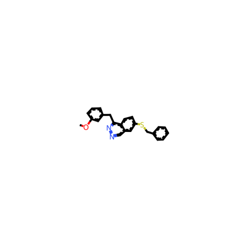 COc1cccc(Cc2nncc3cc(SCc4ccccc4)ccc23)c1